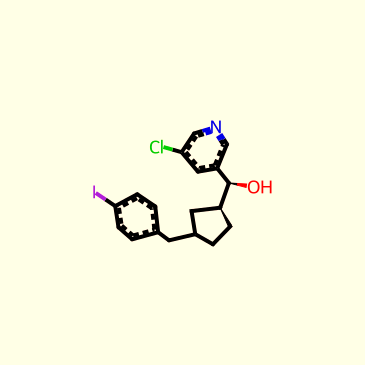 O[C@H](c1cncc(Cl)c1)[C@H]1CCC(Cc2ccc(I)cc2)C1